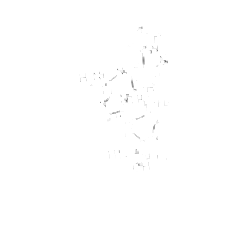 [2H]C([2H])([2H])c1ccc(C(C)(O)C(F)(F)F)cc1-c1cnc2c(N)nc(-c3cnn4c3CCC4)cn12